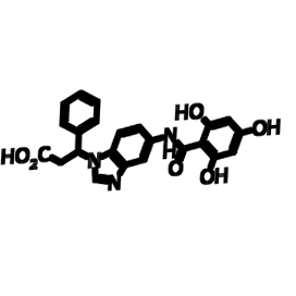 O=C(O)CC(c1ccccc1)n1cnc2cc(NC(=O)c3c(O)cc(O)cc3O)ccc21